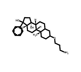 C[C@]12CCC(OCCCN)CC1CC[C@@H]1[C@H]2CC[C@]2(C)C(O)(c3ccccc3)CC[C@@]12O